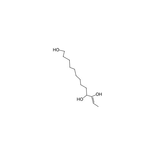 CC=C(O)C(O)CCCCCCCCCO